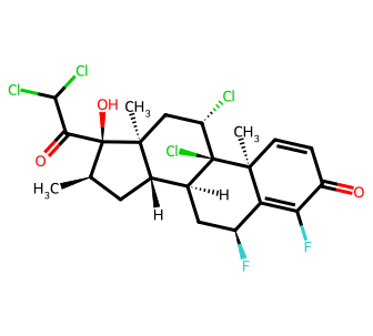 C[C@@H]1C[C@H]2[C@@H]3C[C@H](F)C4=C(F)C(=O)C=C[C@]4(C)[C@@]3(Cl)[C@@H](Cl)C[C@]2(C)[C@@]1(O)C(=O)C(Cl)Cl